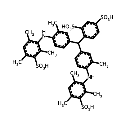 Cc1cc(C(c2ccc(Nc3c(C)cc(C)c(S(=O)(=O)O)c3C)c(C)c2)c2ccc(S(=O)(=O)O)cc2S(=O)(=O)O)ccc1Nc1c(C)cc(C)c(S(=O)(=O)O)c1C